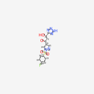 O=C(C=C(O)c1nn[nH]n1)c1cnn(S(=O)(=O)c2ccc(F)cc2)c1